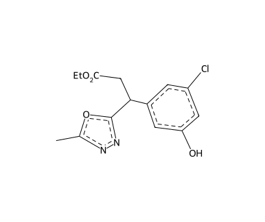 CCOC(=O)CC(c1cc(O)cc(Cl)c1)c1nnc(C)o1